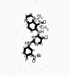 CP(C)(=O)c1c(Nc2nc(Nc3ccc(F)c([N+](=O)[O-])c3)ncc2Cl)ccc2nccnc12